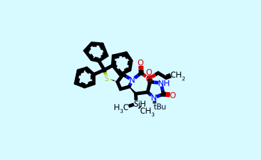 C=CCOC(=O)N1C[C@@H](SC(c2ccccc2)(c2ccccc2)c2ccccc2)C[C@@H]1C(C1C(=O)NC(=O)N1C(C)(C)C)[SiH](C)C